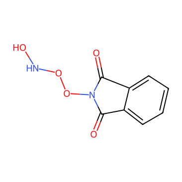 O=C1c2ccccc2C(=O)N1OONO